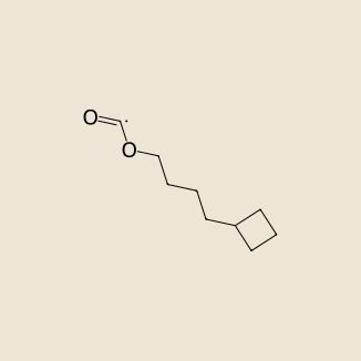 O=[C]OCCCCC1CCC1